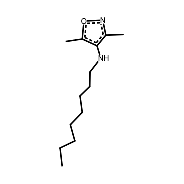 CCCCCCCCNc1c(C)noc1C